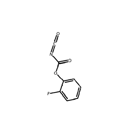 O=C=NC(=O)Oc1ccccc1F